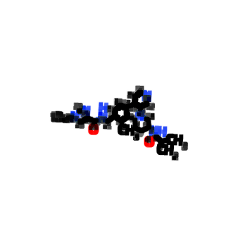 C=C(C)C(=O)NC1CCCN(c2cnccc2-c2ccc(CNC(=O)c3cn(C(C)(C)C)cn3)c(C)c2)C1